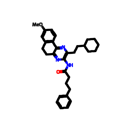 COc1ccc2c(c1)CCc1nc(NC(=O)CCCc3ccccc3)c(CCC3CCCCC3)nc1-2